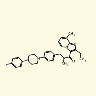 CCc1nc2c(C)cccn2c1C(=O)N(C)Cc1ccc(N2CCN(c3ccc(I)cc3)CC2)cc1